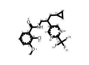 COc1cccc(C(=O)NCC(CC2CC2)c2cnc(C(F)(F)F)nc2)c1Cl